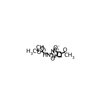 CC(=O)c1ccc2c(c1)[n+]([O-])nc(NCCC(=O)OC(C)C)[n+]2[O-]